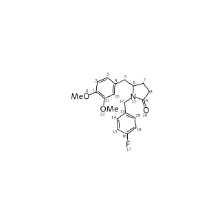 COc1ccc(CC2CCC(=O)N2Cc2ccc(F)cc2)cc1OC